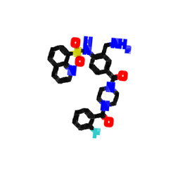 NCc1cc(C(=O)N2CCN(C(=O)c3ccccc3F)CC2)ccc1NS(=O)(=O)c1cccc2cccnc12